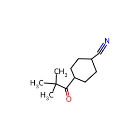 CC(C)(C)C(=O)C1CCC(C#N)CC1